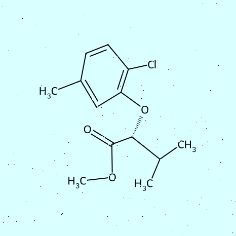 COC(=O)[C@H](Oc1cc(C)ccc1Cl)C(C)C